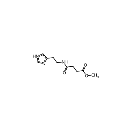 COC(=O)CCC(=O)NCCc1c[nH]cn1